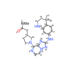 CNC(=O)CC1CCN(c2nccn3nc(Nc4ccc5c(c4)NCCC5(C)C)nc23)C1